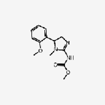 COC(=O)NC1=NCC(c2ccccc2OC)N1C